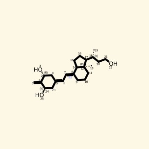 C=C1[C@H](O)CC(=C/C=C2\CCC[C@@]3(C)C2CCC3[C@H](C)CCO)C[C@H]1O